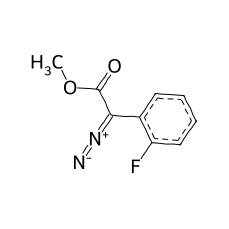 COC(=O)C(=[N+]=[N-])c1ccccc1F